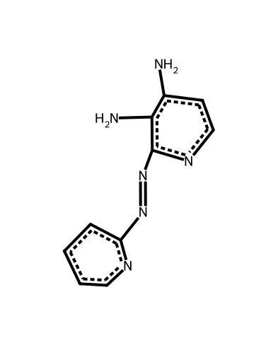 Nc1ccnc(N=Nc2ccccn2)c1N